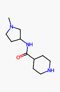 CN1CCC(NC(=O)C2CCNCC2)C1